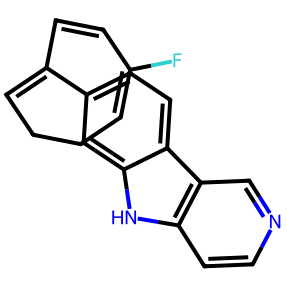 FC1=C/CC/C=C(c2ccc3c(c2)[nH]c2ccncc23)/C=C\1